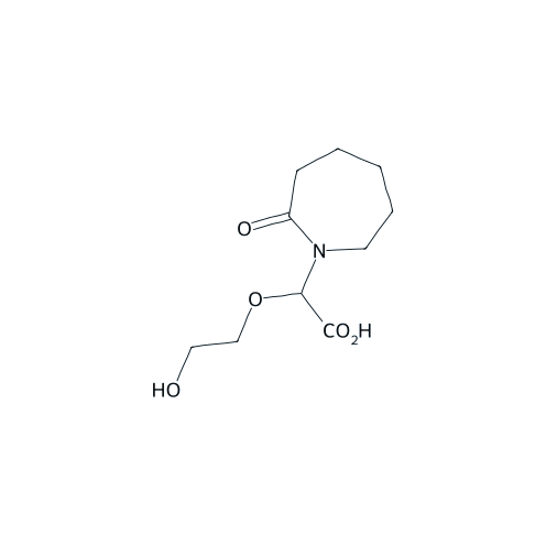 O=C(O)C(OCCO)N1CCCCCC1=O